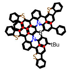 CC(C)(C)c1ccc2c(c1)B1c3cc(-c4ccccc4)ccc3N(c3c(-c4cccc5c4sc4ccccc45)cccc3-c3cccc4c3sc3ccccc34)c3cc(-c4ccccc4)cc(c31)N2c1c(-c2cccc3c2sc2ccccc23)cccc1-c1cccc2c1sc1ccccc12